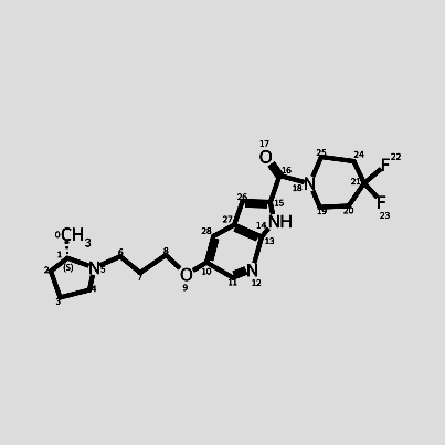 C[C@H]1CCCN1CCCOc1cnc2[nH]c(C(=O)N3CCC(F)(F)CC3)cc2c1